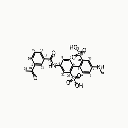 CNc1ccc(-c2ccc(NC(=O)c3cccc(C(C)=O)c3)cc2S(=O)(=O)O)c(S(=O)(=O)O)c1